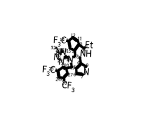 CCC(NCc1cccnc1)c1ccc(C(F)(F)F)cc1CN(Cc1cc(C(F)(F)F)cc(C(F)(F)F)c1)c1nnn(C)n1